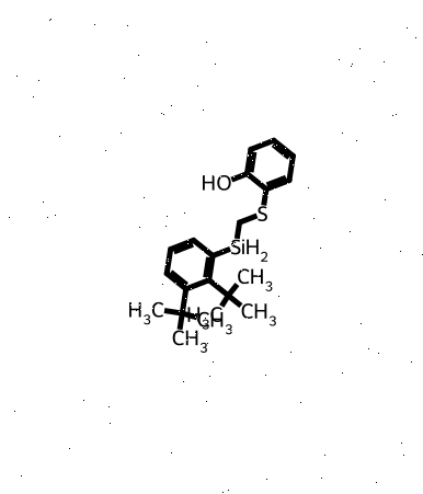 CC(C)(C)c1cccc([SiH2]CSc2ccccc2O)c1C(C)(C)C